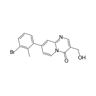 Cc1c(Br)cccc1-c1ccn2c(=O)c(CO)cnc2c1